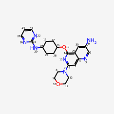 Nc1cnc2cc(N3CCOCC3)nc(OC3CCC(Nc4ncccn4)CC3)c2c1